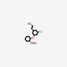 COc1ccccc1Oc1cc(Cl)cc(C=CC#N)c1